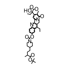 CCc1c2c(nc3ccc(OC(=O)N4CCC(CCC(C)C(=O)OC(C)(C)C)CC4)cc13)-c1cc3c(c(=O)n1C2)COC(=O)C3(O)CC